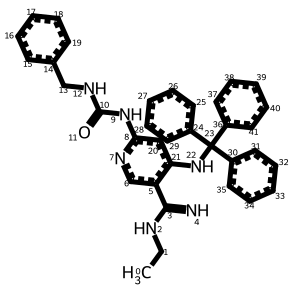 CCNC(=N)c1cnc(NC(=O)NCc2ccccc2)cc1NC(c1ccccc1)(c1ccccc1)c1ccccc1